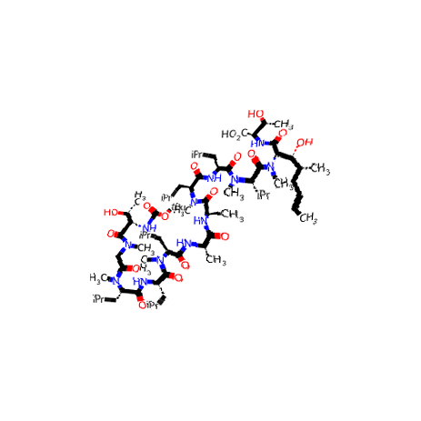 CC=CC[C@@H](C)[C@@H](O)[C@@H](C(=O)N[C@H](C(=O)O)[C@@H](C)O)N(C)C(=O)[C@H](C(C)C)N(C)C(=O)[C@H](CC(C)C)NC(=O)[C@H](CC(C)C)N(C)C(=O)[C@@H](C)NC(=O)[C@H](C)NC(=O)[C@H](CC(C)C)N(C)C(=O)[C@H](CC(C)C)NC(=O)[C@H](CC(C)C)N(C)C(=O)CN(C)C(=O)[C@@H](NC(=O)OC(C)(C)C)[C@@H](C)O